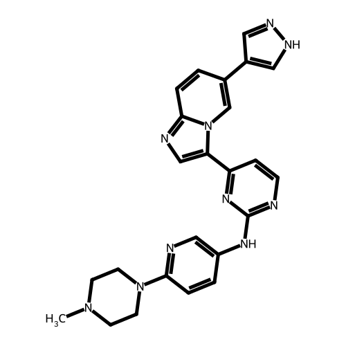 CN1CCN(c2ccc(Nc3nccc(-c4cnc5ccc(-c6cn[nH]c6)cn45)n3)cn2)CC1